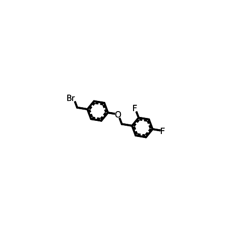 Fc1ccc(COc2ccc(CBr)cc2)c(F)c1